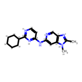 Cc1nc2cnc(Nc3ccnc(C4CCCCC4)n3)cc2n1C